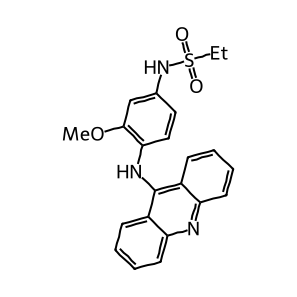 CCS(=O)(=O)Nc1ccc(Nc2c3ccccc3nc3ccccc23)c(OC)c1